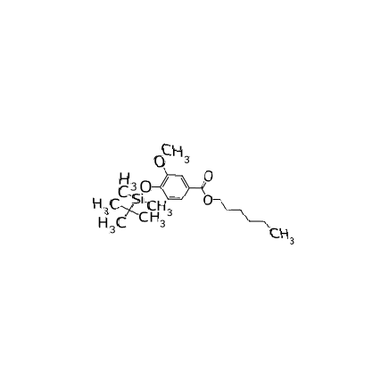 CCCCCCOC(=O)c1ccc(O[Si](C)(C)C(C)(C)C)c(OC)c1